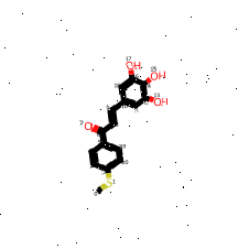 CSc1ccc(C(=O)/C=C/c2cc(O)c(O)c(O)c2)cc1